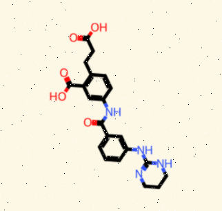 O=C(O)CCc1ccc(NC(=O)c2cccc(NC3=NCCCN3)c2)cc1C(=O)O